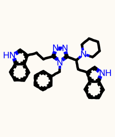 c1ccc(Cn2c(CCc3c[nH]c4ccccc34)nnc2C(Cc2c[nH]c3ccccc23)N2CCCCC2)cc1